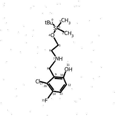 CC(C)(C)[Si](C)(C)OCCNCc1c(O)ccc(F)c1Cl